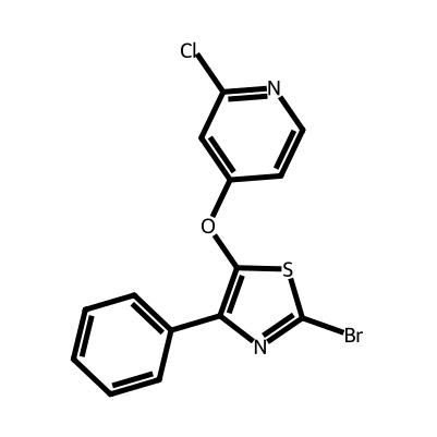 Clc1cc(Oc2sc(Br)nc2-c2ccccc2)ccn1